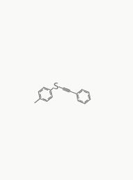 Cc1ccc(SC#Cc2ccccc2)cc1